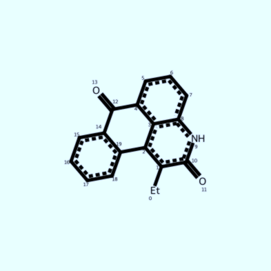 CCc1c2c3c(cccc3[nH]c1=O)C(=O)c1ccccc1-2